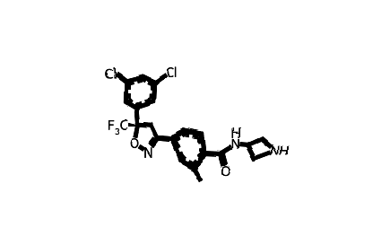 Cc1cc(C2=NO[C@@](c3cc(Cl)cc(Cl)c3)(C(F)(F)F)C2)ccc1C(=O)NC1CNC1